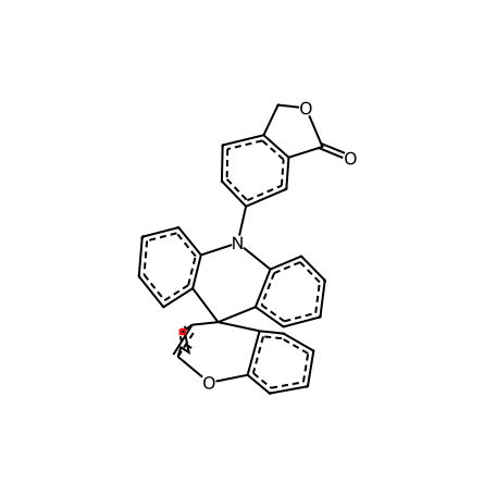 O=C1OCc2ccc(N3c4ccccc4C4(c5ccccc5Oc5ccccc54)c4ccccc43)cc21